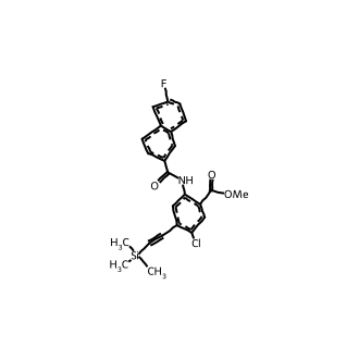 COC(=O)c1cc(Cl)c(C#C[Si](C)(C)C)cc1NC(=O)c1ccc2cc(F)ccc2c1